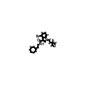 O=C(NCCC1CCCCCC1)c1cn(CCC2(F)COC2)c2cccc(Br)c12